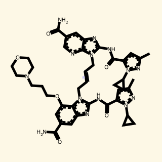 Cc1cc(C(=O)Nc2nc3cc(C(N)=O)cnc3n2C/C=C/Cn2c(NC(=O)c3cc(C)nn3C3CC3)nc3cc(C(N)=O)cc(OCCCN4CCOCC4)c32)n(C2CC2)n1